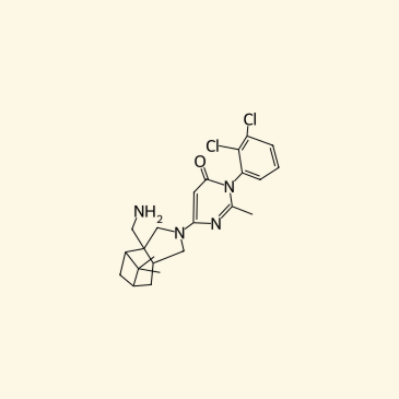 Cc1nc(N2CC3CC4CC(C4(C)C)C3(CN)C2)cc(=O)n1-c1cccc(Cl)c1Cl